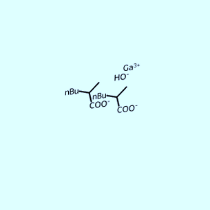 CCCCC(C)C(=O)[O-].CCCCC(C)C(=O)[O-].[Ga+3].[OH-]